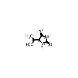 CC(C)C1NC(=O)NC1=N